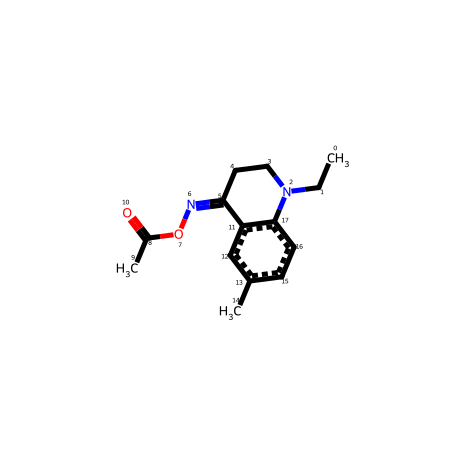 CCN1CC/C(=N/OC(C)=O)c2cc(C)ccc21